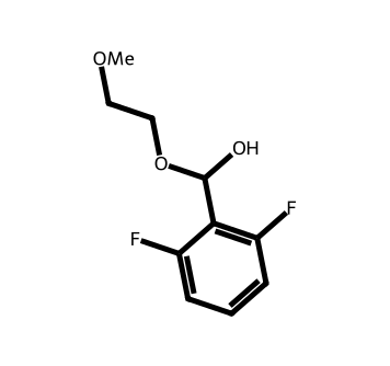 COCCOC(O)c1c(F)cccc1F